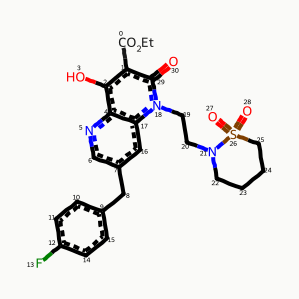 CCOC(=O)c1c(O)c2ncc(Cc3ccc(F)cc3)cc2n(CCN2CCCCS2(=O)=O)c1=O